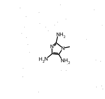 Cn1c(N)nc(N)c1N